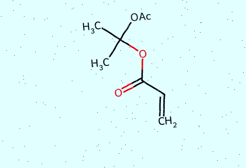 C=CC(=O)OC(C)(C)OC(C)=O